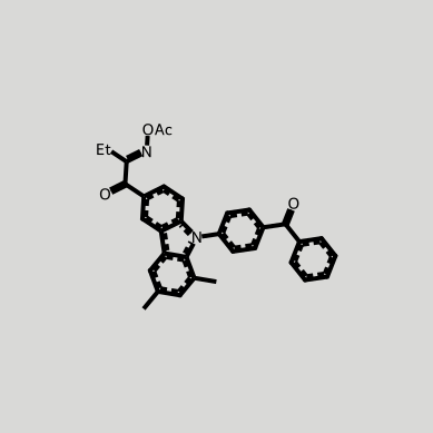 CCC(=NOC(C)=O)C(=O)c1ccc2c(c1)c1cc(C)cc(C)c1n2-c1ccc(C(=O)c2ccccc2)cc1